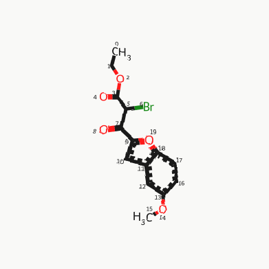 CCOC(=O)C(Br)C(=O)c1cc2cc(OC)ccc2o1